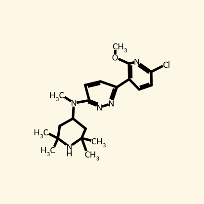 COc1nc(Cl)ccc1-c1ccc(N(C)C2CC(C)(C)NC(C)(C)C2)nn1